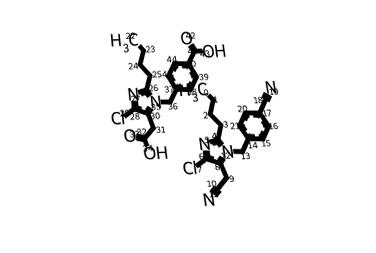 CCCCc1nc(Cl)c(CC#N)n1Cc1ccc(C#N)cc1.CCCCc1nc(Cl)c(CC(=O)O)n1Cc1ccc(C(=O)O)cc1